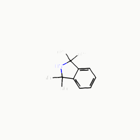 CCCC1(CCC)NC(CCC)(CCC)c2ccccc21